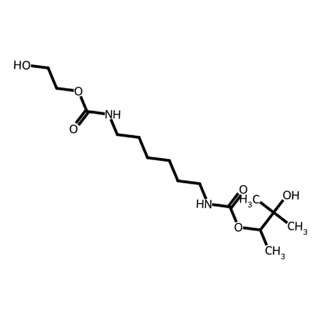 CC(OC(=O)NCCCCCCNC(=O)OCCO)C(C)(C)O